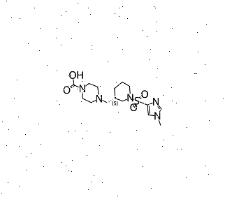 Cn1cnc(S(=O)(=O)N2CCC[C@@H](CN3CCN(C(=O)O)CC3)C2)c1